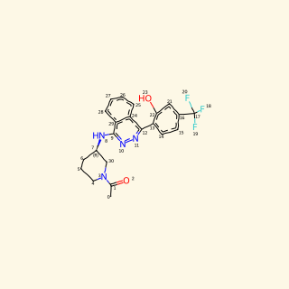 CC(=O)N1CCC[C@@H](Nc2nnc(-c3ccc(C(F)(F)F)cc3O)c3ccccc23)C1